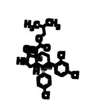 CC(C)COC(=O)N[C@@]12CC[C@@H](c3ccc(Cl)cc3Cl)[C@H](c3ccc(Cl)cc3)[C@@H]1CNC2=O